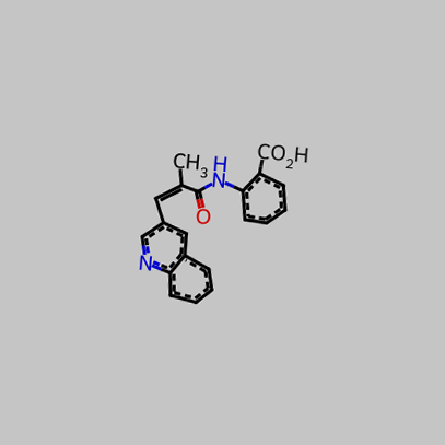 CC(=Cc1cnc2ccccc2c1)C(=O)Nc1ccccc1C(=O)O